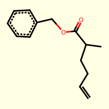 C=CCCC(C)C(=O)OCc1ccccc1